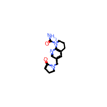 NC(=O)N1CCCc2cc(CN3CCCC3=O)cnc21